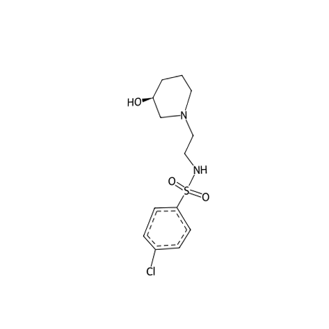 O=S(=O)(NCCN1CCC[C@H](O)C1)c1ccc(Cl)cc1